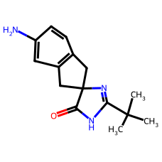 CC(C)(C)C1=NC2(Cc3ccc(N)cc3C2)C(=O)N1